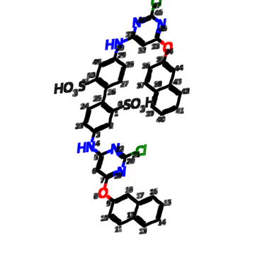 O=S(=O)(O)c1cc(Nc2cc(Oc3ccc4ccccc4c3)nc(Cl)n2)ccc1-c1ccc(Nc2cc(Oc3ccc4ccccc4c3)nc(Cl)n2)cc1S(=O)(=O)O